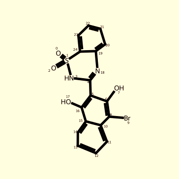 O=S1(=O)NC(c2c(O)c(Br)c3ccccc3c2O)=Nc2ccccc21